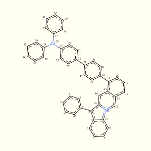 c1ccc(-c2c3ccccc3n3cc4cccc(-c5ccc(-c6ccc(N(c7ccccc7)c7ccccc7)cc6)cc5)c4cc23)cc1